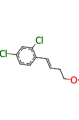 [O]CC/C=C/c1ccc(Cl)cc1Cl